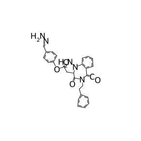 NN=Cc1ccc(OC(=O)CC2C(=O)N(CCc3ccccc3)C(=C=O)c3ccccc3N2N)cc1